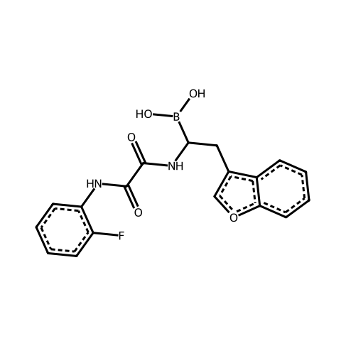 O=C(Nc1ccccc1F)C(=O)NC(Cc1coc2ccccc12)B(O)O